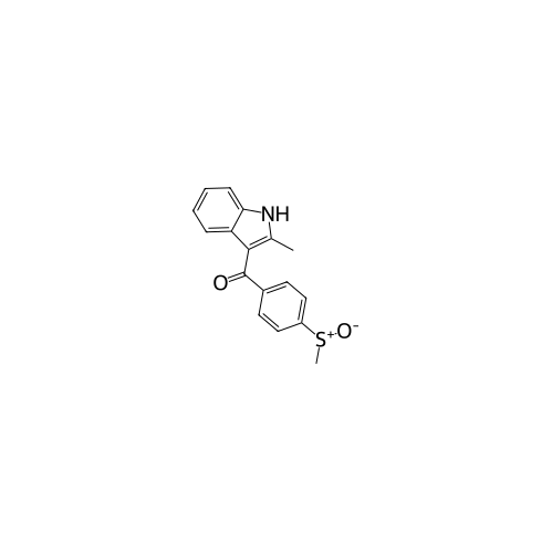 Cc1[nH]c2ccccc2c1C(=O)c1ccc([S+](C)[O-])cc1